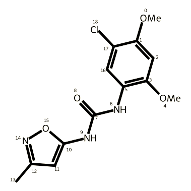 COc1cc(OC)c(NC(=O)Nc2cc(C)no2)cc1Cl